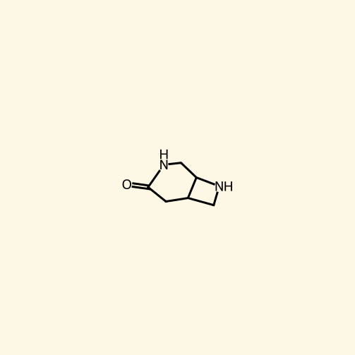 O=C1CC2CNC2CN1